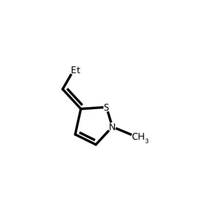 CCC=C1C=CN(C)S1